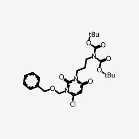 CC(C)(C)OC(=O)N(CCCn1c(=O)cc(Cl)n(COCc2ccccc2)c1=O)C(=O)OC(C)(C)C